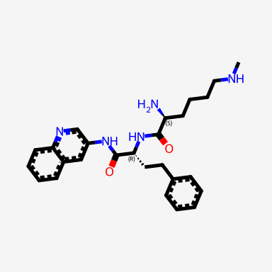 CNCCCC[C@H](N)C(=O)N[C@H](CCc1ccccc1)C(=O)Nc1cnc2ccccc2c1